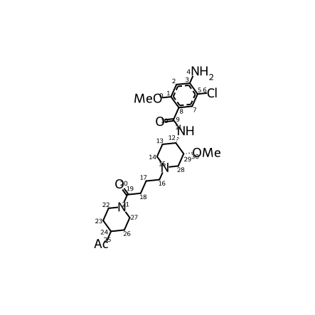 COc1cc(N)c(Cl)cc1C(=O)N[C@H]1CCN(CCCC(=O)N2CCC(C(C)=O)CC2)C[C@H]1OC